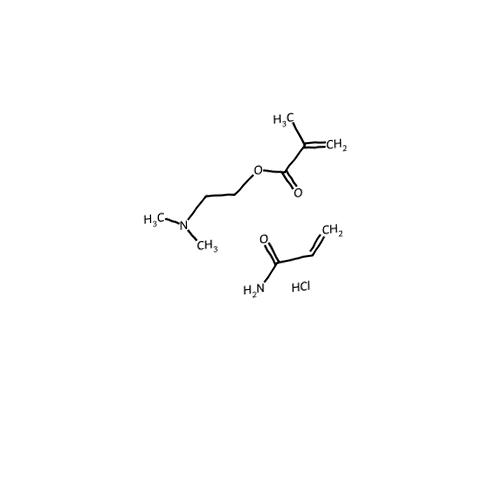 C=C(C)C(=O)OCCN(C)C.C=CC(N)=O.Cl